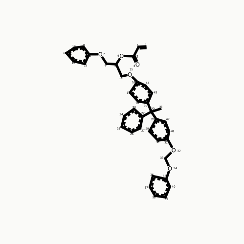 C=CC(=O)OC(COc1ccccc1)COc1ccc(C(C)(c2ccccc2)c2ccc(OCOc3ccccc3)cc2)cc1